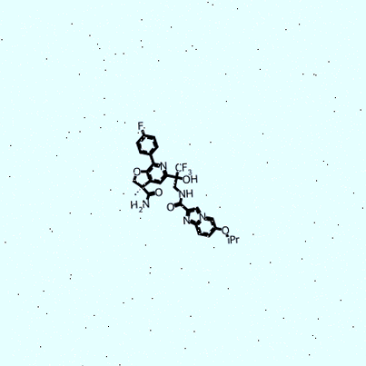 CC(C)Oc1ccc2nc(C(=O)NCC(O)(c3cc4c(c(-c5ccc(F)cc5)n3)OC[C@]4(C)C(N)=O)C(F)(F)F)cn2c1